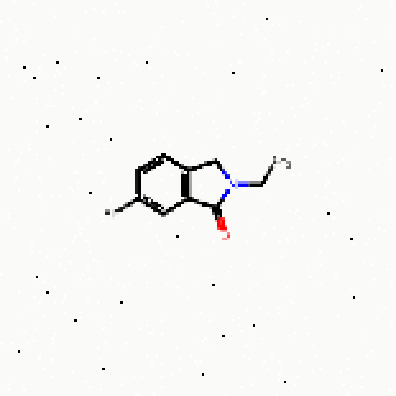 CCc1ccc2c(c1)C(=O)N(CC(F)(F)F)C2